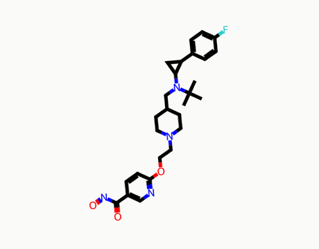 CC(C)(C)N(CC1CCN(CCOc2ccc(C(=O)N=O)cn2)CC1)C1CC1c1ccc(F)cc1